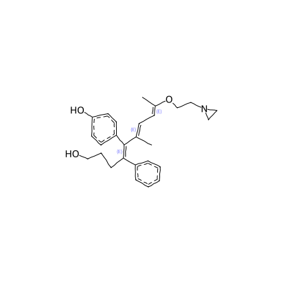 C\C(=C/C=C(C)/C(=C(/CCCO)c1ccccc1)c1ccc(O)cc1)OCCN1CC1